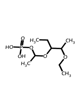 CCOC(C)C(CC)OC(C)OP(=O)(O)O